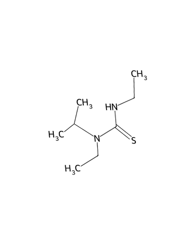 CCNC(=S)N(CC)C(C)C